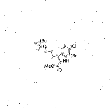 COC(=O)c1[nH]c2c(Br)c(Cl)ccc2c1CCCO[Si](C)(C)C(C)(C)C